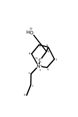 CCC[N+]12CCC(CC1)C(O)C2